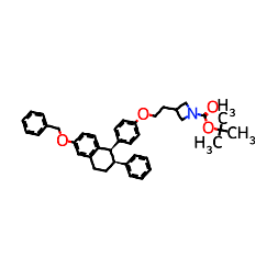 CC(C)(C)OC(=O)N1CC(CCOc2ccc([C@@H]3c4ccc(OCc5ccccc5)cc4CC[C@@H]3c3ccccc3)cc2)C1